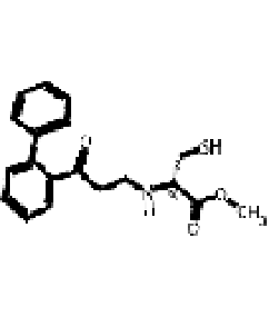 COC(=O)[C@@H](CS)NCCC(=O)c1ccccc1-c1ccccc1